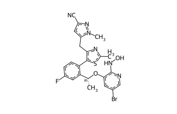 Cc1nc(Cc2cc(C#N)nn2C)c(-c2ccc(F)cc2[C@@H](C)Oc2cc(Br)cnc2NO)s1